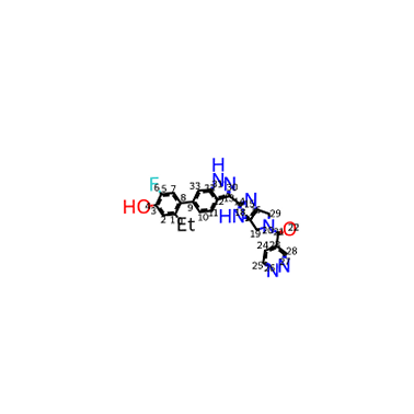 CCc1cc(O)c(F)cc1-c1ccc2c(-c3nc4c([nH]3)CN(C(=O)c3ccnnc3)C4)n[nH]c2c1